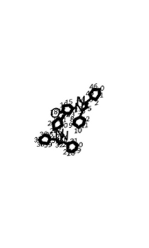 c1ccc(-c2cc(-c3ccccc3)n(-c3ccc4oc5ccc(-n6nc(-c7ccccc7)cc6-c6ccccc6)cc5c4c3)n2)cc1